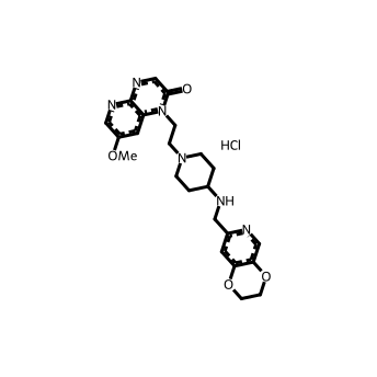 COc1cnc2ncc(=O)n(CCN3CCC(NCc4cc5c(cn4)OCCO5)CC3)c2c1.Cl